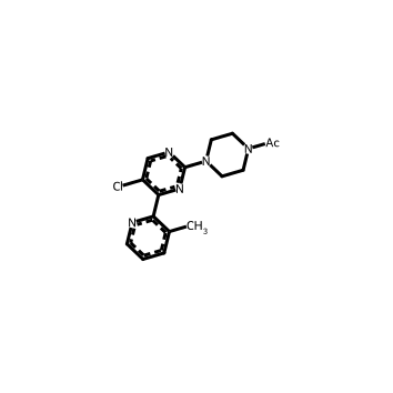 CC(=O)N1CCN(c2ncc(Cl)c(-c3ncccc3C)n2)CC1